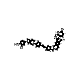 N#Cc1ccc(N2CCC3(CCN(c4ccc(C#CC5CCC(CN6CCc7cc8c(cc7C6)C(=O)N(C6CCC(=O)NC6=O)C8=O)CC5)cc4)CC3)C2)cc1Cl